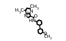 COc1cccc(-c2cccc(NC(=O)c3cnn4c(C)cc(C)nc34)c2)c1